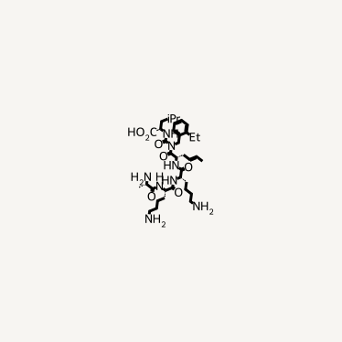 C/C=C/C[C@H](NC(=O)[C@H](CCCCN)NC(=O)[C@H](CCCCN)NC(=O)[C@H](C)N)C(=O)N(Cc1ccccc1CC)C(=O)N[C@@H](CC(C)C)C(=O)O